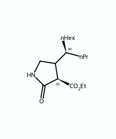 CCCCCC[C@@H](CCC)C1CNC(=O)[C@@H]1C(=O)OCC